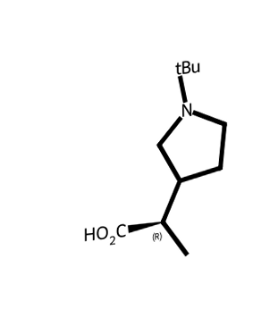 C[C@@H](C(=O)O)C1CCN(C(C)(C)C)C1